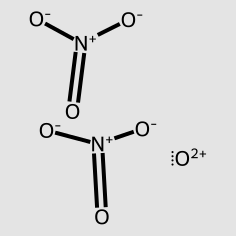 O=[N+]([O-])[O-].O=[N+]([O-])[O-].[O+2]